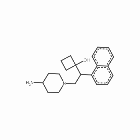 NC1CCN(CC(c2cccc3ccccc23)C2(O)CCC2)CC1